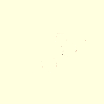 Cc1cc2c(N3CCC(CCO)CC3)ccc(C#N)c2o1